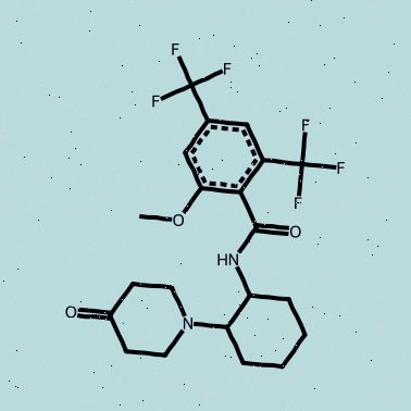 COc1cc(C(F)(F)F)cc(C(F)(F)F)c1C(=O)NC1CCCCC1N1CCC(=O)CC1